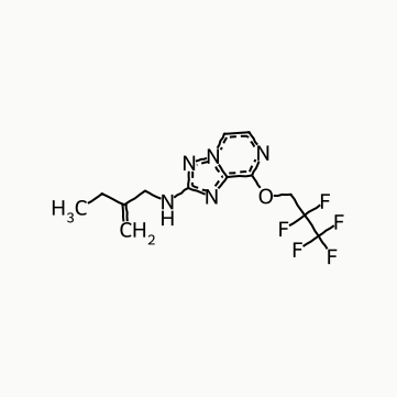 C=C(CC)CNc1nc2c(OCC(F)(F)C(F)(F)F)nccn2n1